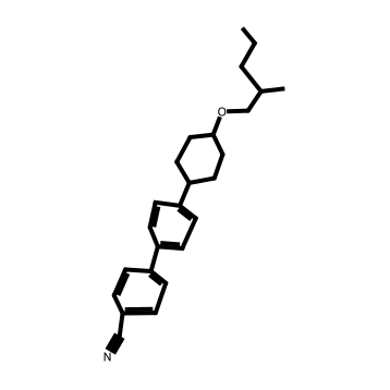 CCCC(C)COC1CCC(c2ccc(-c3ccc(C#N)cc3)cc2)CC1